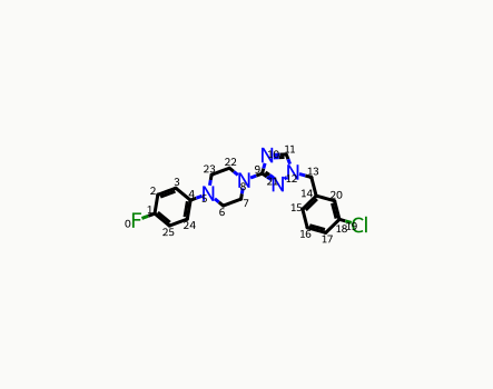 Fc1ccc(N2CCN(c3ncn(Cc4cccc(Cl)c4)n3)CC2)cc1